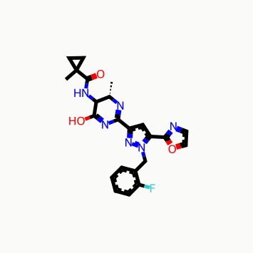 C[C@@H]1N=C(c2cc(-c3ncco3)n(Cc3ccccc3F)n2)N=C(O)C1NC(=O)C1(C)CC1